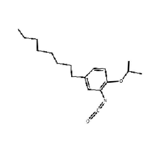 CCCCCCCCc1ccc(OC(C)C)c(N=C=O)c1